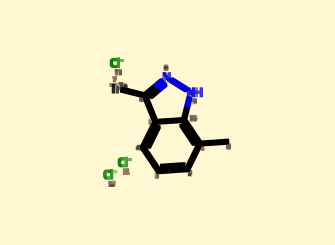 Cc1cccc2[c]([Ti+3])n[nH]c12.[Cl-].[Cl-].[Cl-]